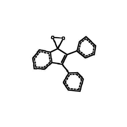 c1ccc(C2=C(c3ccccc3)C3(OO3)c3ccccc32)cc1